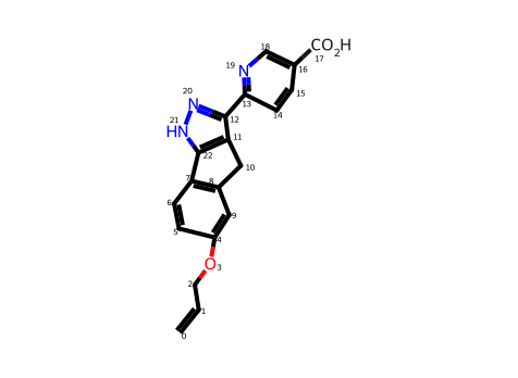 C=CCOc1ccc2c(c1)Cc1c(-c3ccc(C(=O)O)cn3)n[nH]c1-2